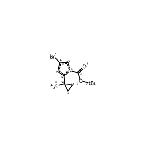 CC(C)(C)OC(=O)n1cc(Br)cc1C1(C(F)(F)F)CC1